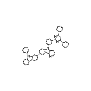 c1ccc(-c2cc(-c3ccccc3)nc(-c3cccc(-n4c5ccc(-c6ccc7c8ccccc8n(-c8ccccc8)c7c6)cc5c5ncccc54)c3)n2)cc1